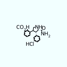 Cl.NC(=O)[C@H]1NCC(c2ccccc2C(=O)O)[C@H]1c1ccccc1